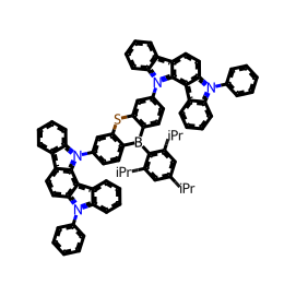 CC(C)c1cc(C(C)C)c(B2c3ccc(-n4c5ccccc5c5ccc6c(c7ccccc7n6-c6ccccc6)c54)cc3Sc3cc(-n4c5ccccc5c5ccc6c(c7ccccc7n6-c6ccccc6)c54)ccc32)c(C(C)C)c1